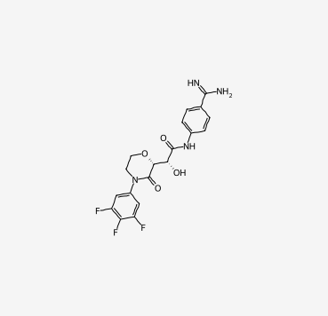 N=C(N)c1ccc(NC(=O)[C@H](O)[C@H]2OCCN(c3cc(F)c(F)c(F)c3)C2=O)cc1